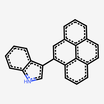 c1cc2ccc3cccc4c(-c5c[nH]c6ccccc56)cc(c1)c2c34